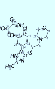 CC1N=C(SCCN2CCOCC2)N(c2ccc(Cl)c(Cl)c2)N1.O=C(O)C(=O)O